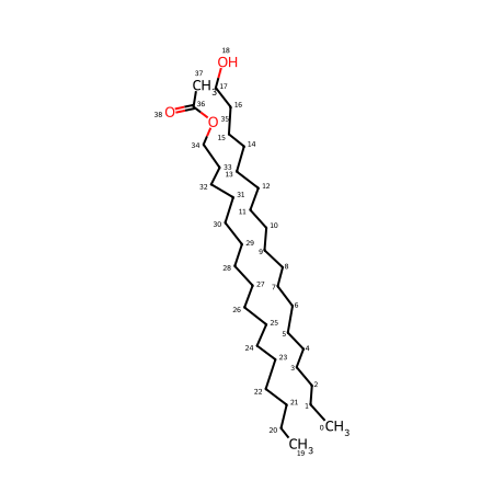 CCCCCCCCCCCCCCCCCCO.CCCCCCCCCCCCCCCCOC(C)=O